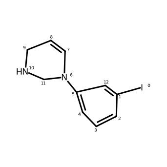 Ic1cccc(N2C=CCNC2)c1